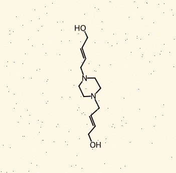 OCC=CCN1CCN(CC=CCO)CC1